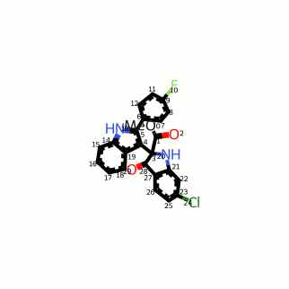 COC(=O)C1(c2c(-c3ccc(F)cc3)[nH]c3ccccc23)Nc2cc(Cl)ccc2C1=O